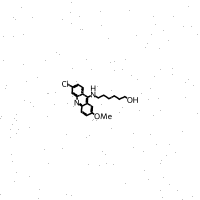 COc1ccc2nc3cc(Cl)ccc3c(NCCCCCCO)c2c1